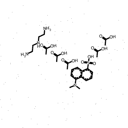 CC(=O)O.CC(=O)O.CC(=O)O.CC(=O)O.CC(=O)O.CN(C)c1cccc2c(S(=O)(=O)O)cccc12.NCCNCCN